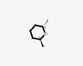 C[C@H]1CCC[C@H](C)O1